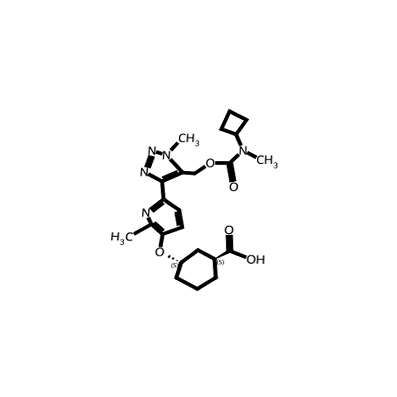 Cc1nc(-c2nnn(C)c2COC(=O)N(C)C2CCC2)ccc1O[C@H]1CCC[C@H](C(=O)O)C1